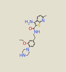 CCOc1cc(CCNC(=O)c2sc3nc(C)ccc3c2N)ccc1N1CCNCC1